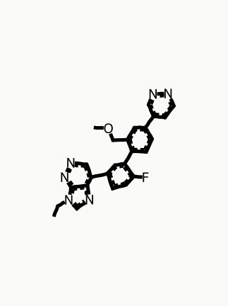 CCn1cnc2c(-c3ccc(F)c(-c4ccc(-c5ccnnc5)cc4COC)c3)cnnc21